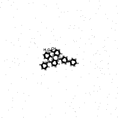 C[Si]1(C)c2cccc3c2B2c4c(cccc4N(c4ccc(-c5ccccc5)cc4)c4cccc1c42)N3c1ccccc1